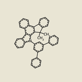 CC1(C)c2ccccc2-c2c1c1c(c3ccccc23)c2ccccc2n1-c1cc(-c2ccccc2)cc(-c2ccccc2)c1